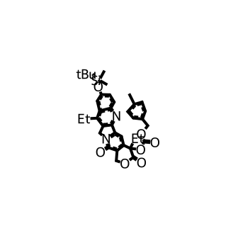 CCc1c2c(nc3ccc(O[Si](C)(C)C(C)(C)C)cc13)-c1cc3c(c(=O)n1C2)COC(=O)C3(CC)OC(=O)OCc1ccc(C)cc1